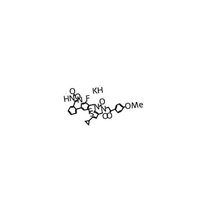 COc1ccc(C(=O)Cn2c(=O)c3cc(C4CC4)sc3n(Cc3c(F)cc(-c4ccccc4-c4noc(=O)[nH]4)cc3F)c2=O)cc1.[KH]